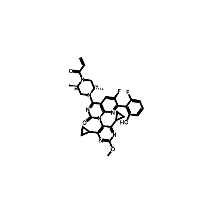 C=CC(=O)N1C[C@H](C)N(c2nc(=O)n(-c3c(C4CC4)nc(OC)nc3C3CC3)c3nc(-c4c(O)cccc4F)c(F)cc23)C[C@H]1C